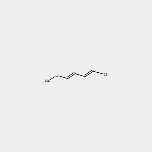 CC(=O)OC=CC=CCl